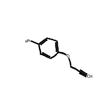 C#CCOc1ccc(CCC)cc1